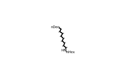 CCCCCCCCCCCCCCCCCCCNCCCCCC